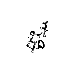 CO[C@H](CC(=O)N1CCC[C@H]1C[C@@H](C)C(=O)N[C@H](Cc1ccccc1)C(=O)O)N(C)C(=O)CC(C)C